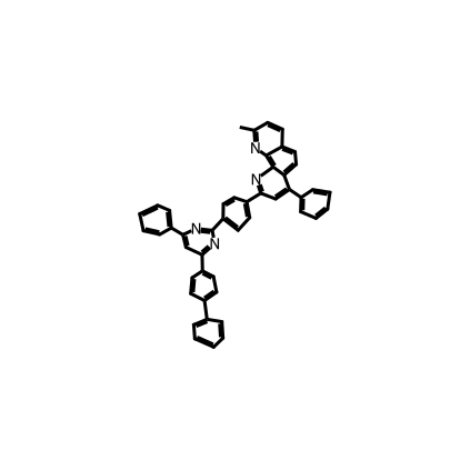 Cc1ccc2ccc3c(-c4ccccc4)cc(-c4ccc(-c5nc(-c6ccccc6)cc(-c6ccc(-c7ccccc7)cc6)n5)cc4)nc3c2n1